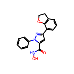 O=C(NO)c1cc(-c2cccc3c2OCC3)nn1-c1ccccc1